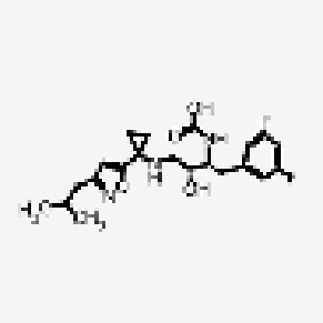 CC(C)Cc1cc(C2(NC[C@H](O)[C@H](Cc3cc(F)cc(F)c3)NC(=O)O)CC2)on1